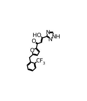 O=C(C=C(O)c1nc[nH]n1)c1ccc(Cc2ccccc2C(F)(F)F)o1